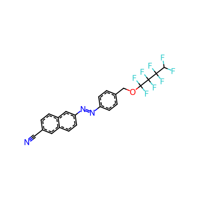 N#Cc1ccc2cc(/N=N/c3ccc(COC(F)(F)C(F)(F)C(F)(F)C(F)F)cc3)ccc2c1